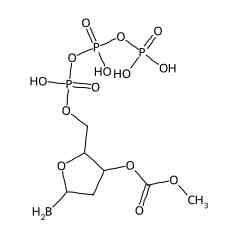 BC1CC(OC(=O)OC)C(COP(=O)(O)OP(=O)(O)OP(=O)(O)O)O1